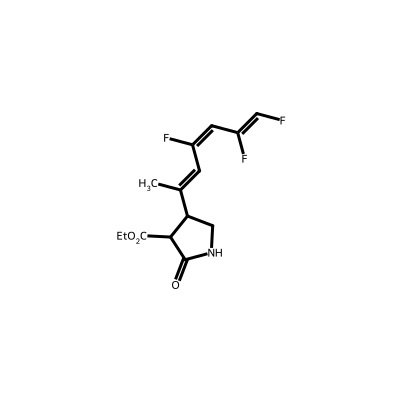 CCOC(=O)C1C(=O)NCC1/C(C)=C/C(F)=C\C(F)=C\F